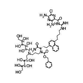 N=C(NCCCCc1ccc(CC[C@@H](C(N)=O)N(CCCN(C[C@H](O)[C@@H](O)[C@H](O)[C@H](O)CO)C[C@H](O)[C@@H](O)[C@H](O)[C@H](O)CO)C(=O)OCc2ccccc2)c2ccccc12)NC(=O)c1nc(Cl)c(N)nc1N